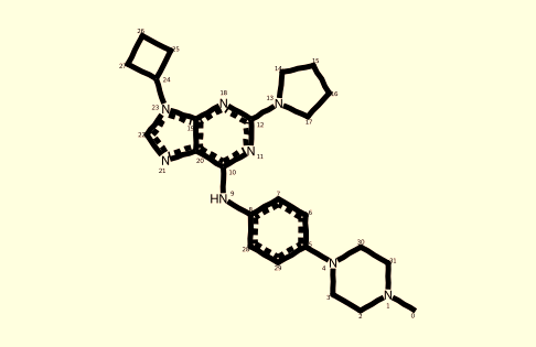 CN1CCN(c2ccc(Nc3nc(N4CCCC4)nc4c3ncn4C3CCC3)cc2)CC1